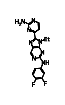 CCn1c(-c2ccnc(N)n2)nc2cnc(Nc3ccc(F)c(F)c3)nc21